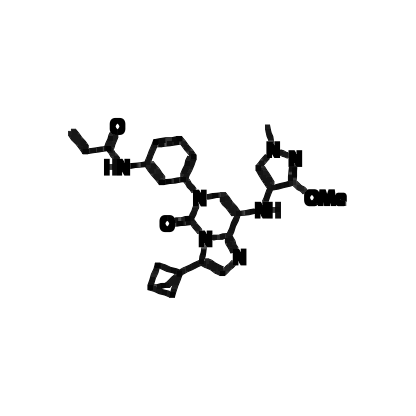 C=CC(=O)Nc1cccc(-n2cc(Nc3cn(C)nc3OC)c3ncc(C45CC(C4)C5)n3c2=O)c1